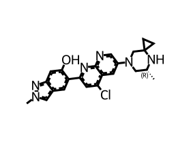 C[C@@H]1CN(c2cnc3nc(-c4cc5cn(C)nc5cc4O)cc(Cl)c3c2)CC2(CC2)N1